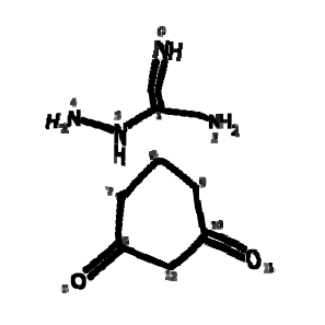 N=C(N)NN.O=C1CCCC(=O)C1